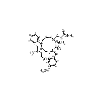 CCCC(C)C[C@]1(c2ccccc2)CCCC(CCC(N)=O)C(C)C(=O)N(Cc2ccc(OC)cc2)CCC1